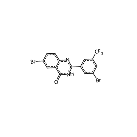 O=c1[nH]c(-c2cc(Br)cc(C(F)(F)F)c2)nc2ccc(Br)cc12